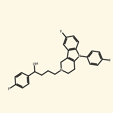 OC(CCCN1CCc2c(c3cc(F)ccc3n2-c2ccc(F)cc2)C1)c1ccc(F)cc1